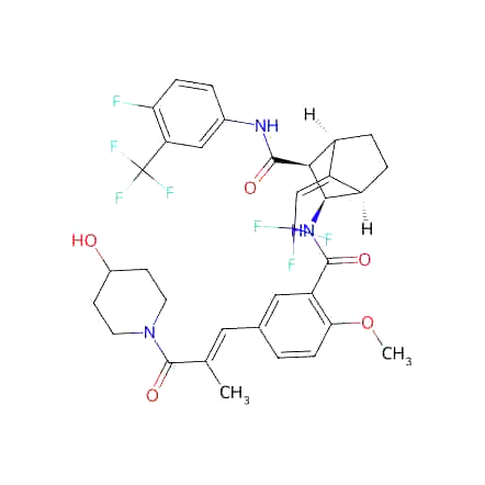 COc1ccc(/C=C(\C)C(=O)N2CCC(O)CC2)cc1C(=O)N[C@H]1[C@@H](C(=O)Nc2ccc(F)c(C(F)(F)F)c2)[C@H]2CC[C@@H]1/C2=C\C(F)(F)F